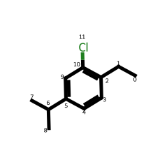 CCc1ccc(C(C)C)cc1Cl